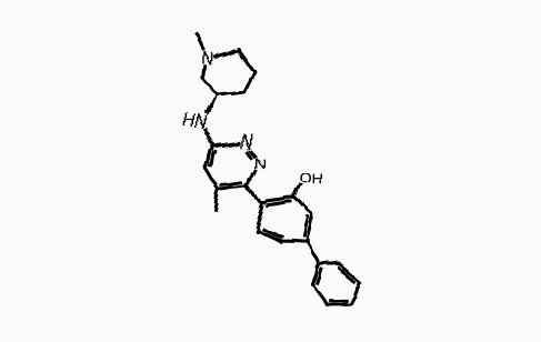 Cc1cc(N[C@@H]2CCCN(C)C2)nnc1-c1ccc(-c2ccccc2)cc1O